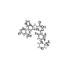 O=C(NC(Cc1ccc(-c2ncc(F)cc2C(F)(F)F)c2nccn12)C(=O)O)c1c(F)cc(N2CCOC[C@@H]2C(F)(F)F)cc1F